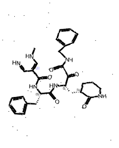 CN/C=C(\C=N)C(=O)N[C@@H](Cc1ccccc1)C(=O)N[C@@H](C[C@@H]1CCCNC1=O)C(=O)C(=O)NCc1ccccc1